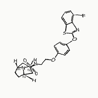 CS(=O)(=O)N1[C@@H]2CC[C@H]1C[C@H](NCCOc1ccc(Oc3nc4c(F)cccc4s3)cc1)C2